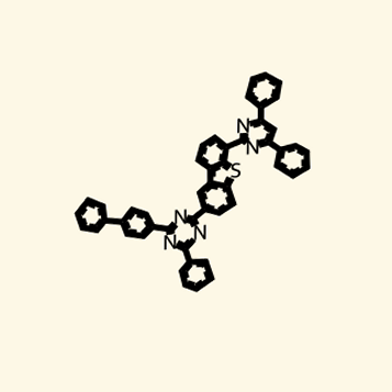 c1ccc(-c2ccc(-c3nc(-c4ccccc4)nc(-c4ccc5sc6c(-c7nc(-c8ccccc8)cc(-c8ccccc8)n7)cccc6c5c4)n3)cc2)cc1